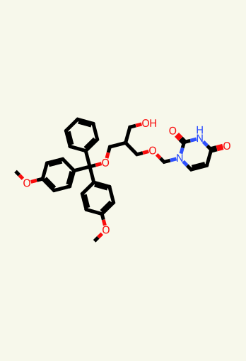 COc1ccc(C(OCC(CO)COCn2ccc(=O)[nH]c2=O)(c2ccccc2)c2ccc(OC)cc2)cc1